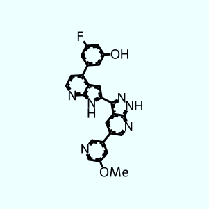 COc1cncc(-c2cnc3[nH]nc(-c4cc5c(-c6cc(O)cc(F)c6)ccnc5[nH]4)c3c2)c1